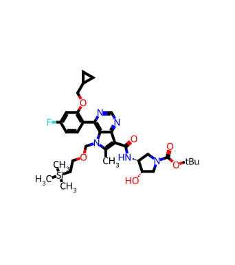 Cc1c(C(=O)N[C@@H]2CN(C(=O)OC(C)(C)C)C[C@@H]2O)c2ncnc(-c3ccc(F)cc3OCC3CC3)c2n1COCC[Si](C)(C)C